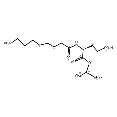 CCCCCCCCCCCCCCCCCC(=O)N[C@@H](CCC(=O)O)C(=O)OC(CCCCCC)CCCCCCCCC